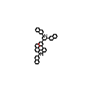 c1cc(-c2cc(-c3ccc4ccccc4c3)nc(-c3ccc4ccccc4c3)c2)cc(-c2cccc3nc(-c4ccc5ccccc5c4)c4ccc5ccccc5c4c23)c1